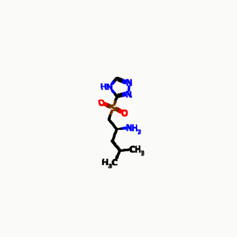 CC(C)C[C@H](N)CS(=O)(=O)c1nnc[nH]1